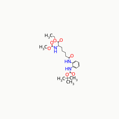 CCOC(=O)C(CCCCC(=O)Nc1ccccc1NC(=O)OC(C)(C)C)NC(=O)OC